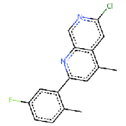 Cc1ccc(F)cc1-c1cc(C)c2cc(Cl)ncc2n1